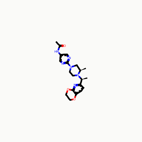 CC(=O)Nc1cnc(N2CCN([C@@H](C)c3ccc4c(n3)OCCO4)[C@H](C)C2)nc1